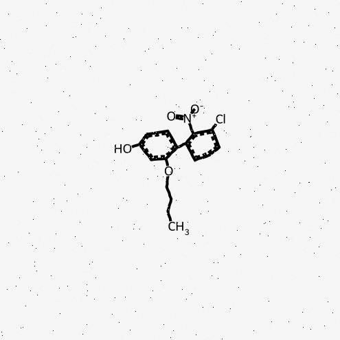 CCCCOc1cc(O)ccc1-c1cccc(Cl)c1[N+](=O)[O-]